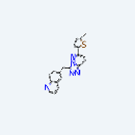 Cc1ccc(-c2ccc3nnc(Cc4ccc5ncccc5c4)n3n2)s1